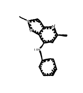 Cc1cc(Nc2ccccc2)c2nn(C)cc2n1